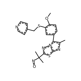 COc1ccc(-c2c(C)nc3sc(C(C)(C)N=O)nn23)cc1SCc1ccncc1